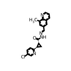 Cc1cc(C=NNC(=O)[C@@H]2C[C@H]2c2ccc(Cl)cn2)cc2cccnc12